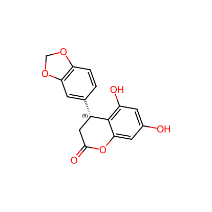 O=C1C[C@H](c2ccc3c(c2)OCO3)c2c(O)cc(O)cc2O1